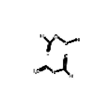 C=COC(=O)CC.CCOOC(=O)CC